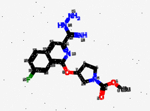 CC(C)(C)OC(=O)N1CCC(Oc2nc(C(=N)NN)cc3ccc(F)cc23)C1